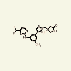 Cc1cc(Nc2nccc(C(F)F)n2)cc(-c2cnn(C[C@@]3(C)CNC(=O)C3)c2)c1